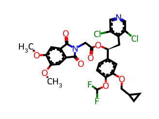 COc1cc2c(cc1OC)C(=O)N(CC(=O)O[C@@H](Cc1c(Cl)cncc1Cl)c1ccc(OC(F)F)c(OCC3CC3)c1)C2=O